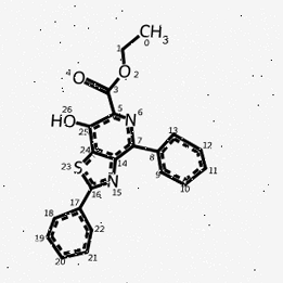 CCOC(=O)c1nc(-c2ccccc2)c2nc(-c3ccccc3)sc2c1O